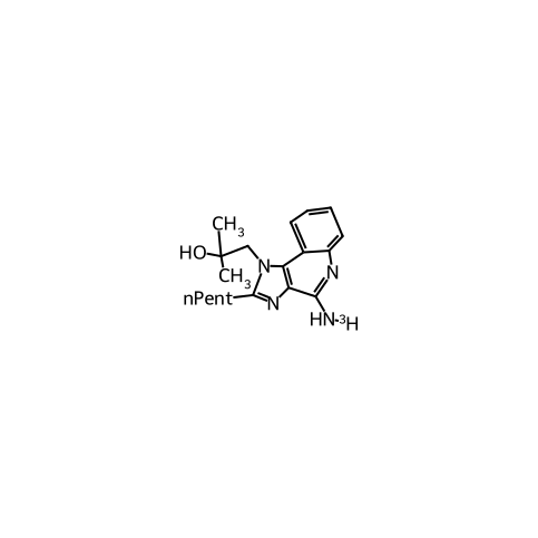 [3H]Nc1nc2ccccc2c2c1nc(CCCCC)n2CC(C)(C)O